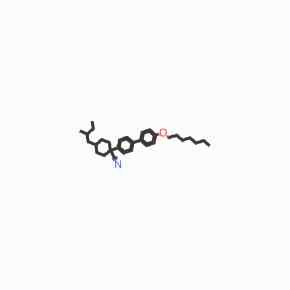 CCCCCCCOc1ccc(-c2ccc(C3(C#N)CCC(CC(C)CC)CC3)cc2)cc1